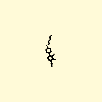 CCCCCOC1CCC(c2ccc(C#N)c(F)c2F)CC1